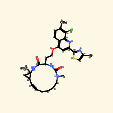 COc1ccc2c(OCCC3NC(=O)N(C)CCCC/C=C\C4CC4(C(=O)O)NC3=O)cc(-c3nc(C(C)C)cs3)nc2c1Cl